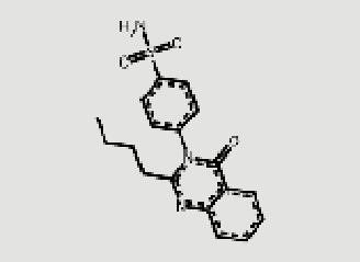 CCCCc1nc2ccccc2c(=O)n1-c1ccc(S(N)(=O)=O)cc1